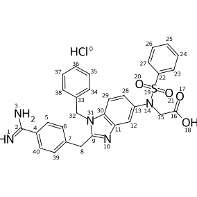 Cl.N=C(N)c1ccc(Cc2nc3cc(N(CC(=O)O)S(=O)(=O)c4ccccc4)ccc3n2Cc2ccccc2)cc1